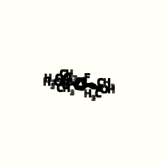 CC(C)(O)C#Cc1ccc(B2OC(C)(C)C(C)(C)O2)cc1F